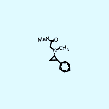 CNC(=O)CN(C)[C@H]1CC1c1ccccc1